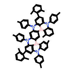 Cc1ccc(N2c3ccc(C)cc3B3c4cc5c(cc4N(c4ccc(C)cc4)c4cc(-c6c(C)cccc6C)cc2c43)N(c2ccc(C)cc2)c2cc(-c3c(C)cccc3C)cc3c2B5c2c(C)cccc2N3c2ccc(C)cc2)cc1